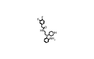 Nc1ccccc1N(CCNC(=O)Cc1ccc(F)c(F)c1)C1CCNCC1